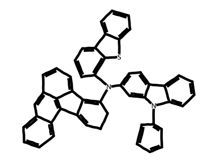 C1=C2C(=C(N(c3ccc4c5ccccc5n(-c5ccccc5)c4c3)c3cccc4c3sc3ccccc34)CC1)c1cccc3cc4ccccc4c2c13